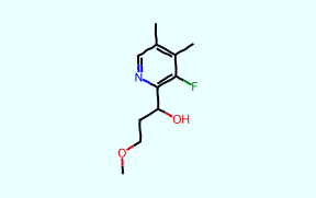 COCCC(O)c1ncc(C)c(C)c1F